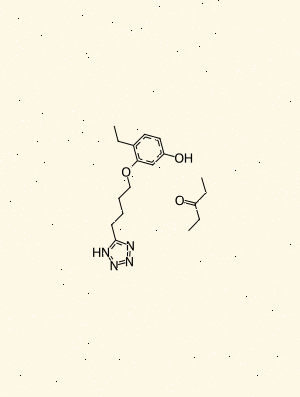 CCC(=O)CC.CCc1ccc(O)cc1OCCCCc1nnn[nH]1